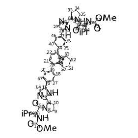 COC(=O)N[C@H](C(=O)N1CCC[C@H]1c1ncc(-c2ccc(-c3ccc(-c4ccc(-c5cnc([C@@H]6CCCN6C(=O)[C@@H](NC(=O)OC)C(C)C)[nH]5)cc4)c4c3C3CCC4CC3)cc2)[nH]1)C(C)C